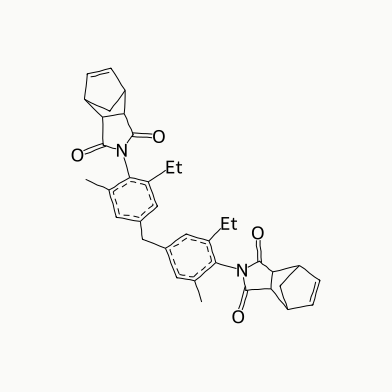 CCc1cc(Cc2cc(C)c(N3C(=O)C4C5C=CC(C5)C4C3=O)c(CC)c2)cc(C)c1N1C(=O)C2C3C=CC(C3)C2C1=O